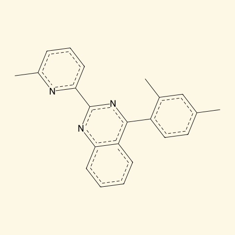 Cc1ccc(-c2nc(-c3cccc(C)n3)nc3ccccc23)c(C)c1